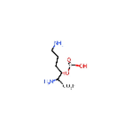 NCCCCC(N)C(=O)O.O=[Si](O)O